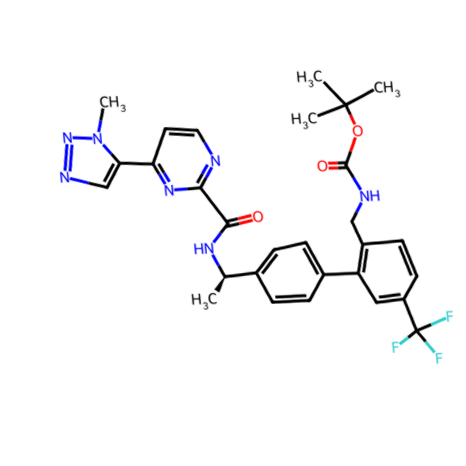 C[C@@H](NC(=O)c1nccc(-c2cnnn2C)n1)c1ccc(-c2cc(C(F)(F)F)ccc2CNC(=O)OC(C)(C)C)cc1